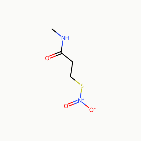 CNC(=O)CCS[N+](=O)[O-]